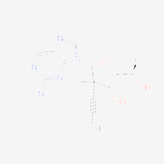 CC#CC1(Cl)C(O)[C@@H]([C@@H](C)O)O[C@H]1n1cnc2cnc(N)nc21